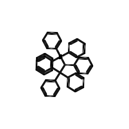 c1ccc(C([B-](c2ccccc2)(c2ccccc2)c2ccccc2)C(c2ccccc2)(c2ccccc2)c2ccccc2)cc1